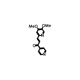 COc1cnc(/C=C/C(=O)c2ccncc2)cc1OC